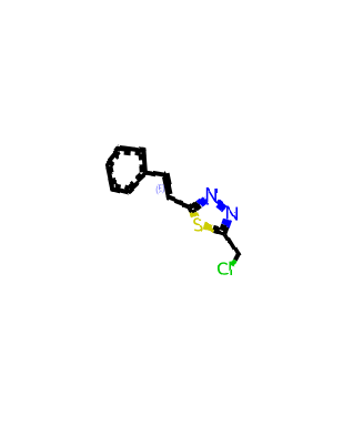 ClCc1nnc(/C=C/c2ccccc2)s1